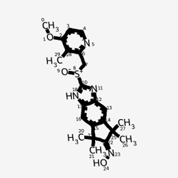 COc1ccnc(C[S+]([O-])c2nc3cc4c(cc3[nH]2)C(C)(C)C(=NO)C4(C)C)c1C